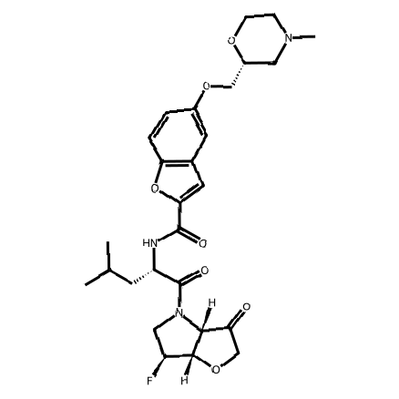 CC(C)C[C@H](NC(=O)c1cc2cc(OC[C@H]3CN(C)CCO3)ccc2o1)C(=O)N1C[C@H](F)[C@H]2OCC(=O)[C@H]21